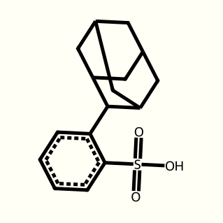 O=S(=O)(O)c1ccccc1C1C2CC3CC(C2)CC1C3